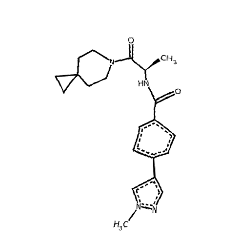 C[C@@H](NC(=O)c1ccc(-c2cnn(C)c2)cc1)C(=O)N1CCC2(CC1)CC2